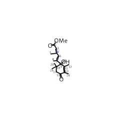 COC(=O)/C=C(C)/C=C(\C)[C@]1(O)C(C)=C(C)C(=O)CC1(C)C